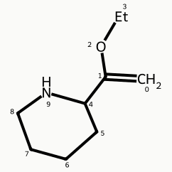 C=C(OCC)C1CCCCN1